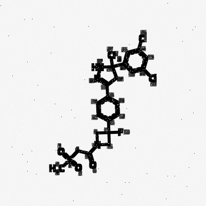 CS(=O)(=O)CC(=O)N1CC(F)(c2ccc(C3=NNC(c4cc(Cl)cc(Cl)c4)(C(F)(F)F)C3)cc2)C1